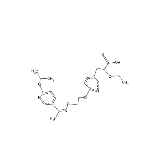 CCOC(Cc1ccc(OCCO/N=C(/C)c2ccc(OC(C)C)nc2)cc1)C(=O)O